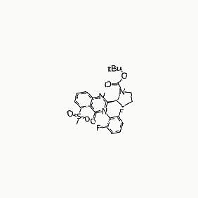 CC(C)(C)OC(=O)N1CCC[C@H]1c1nc2cccc(S(C)(=O)=O)c2c(=O)n1-c1c(F)cccc1F